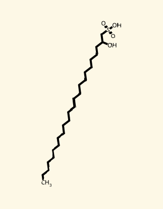 CCCCCCCCCCCCCCCCCCCCCCC(O)CS(=O)(=O)O